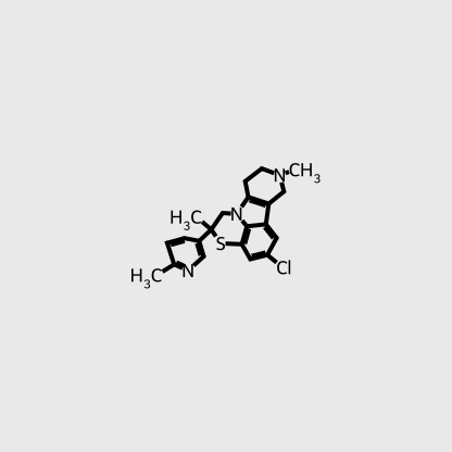 Cc1ccc(C2(C)Cn3c4c(c5cc(Cl)cc(c53)S2)CN(C)CC4)cn1